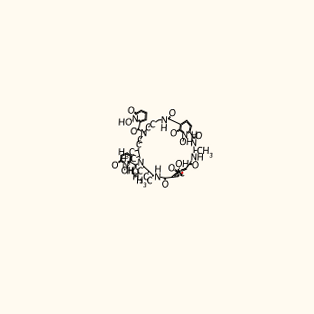 CC1NC(=O)c2ccc(c(=O)n2O)C(=O)NCCCN(C(=O)c2cccc(=O)n2O)CCC(C)C(C)N(C(=O)c2cccc(=O)n2O)C(C)C(C)C(C)NC(=O)c2ccc(n(O)c2=O)C(=O)N1